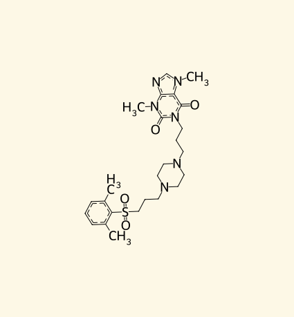 Cc1cccc(C)c1S(=O)(=O)CCCN1CCN(CCCn2c(=O)c3c(ncn3C)n(C)c2=O)CC1